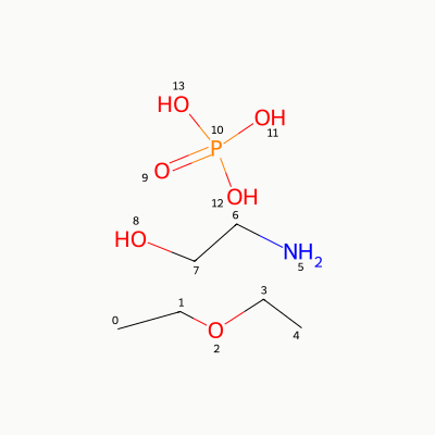 CCOCC.NCCO.O=P(O)(O)O